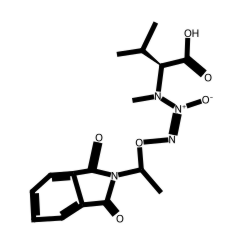 CC(C)[C@@H](C(=O)O)N(C)/[N+]([O-])=N\OC(C)N1C(=O)c2ccccc2C1=O